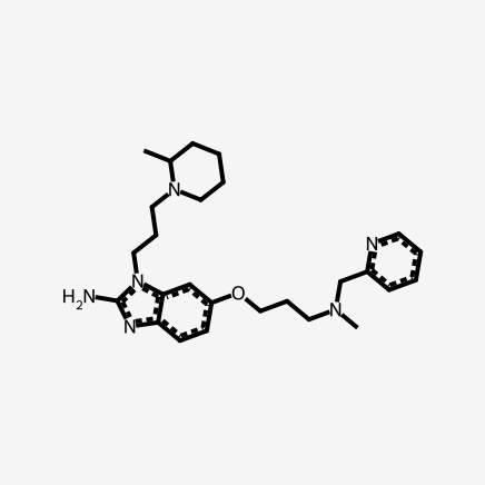 CC1CCCCN1CCCn1c(N)nc2ccc(OCCCN(C)Cc3ccccn3)cc21